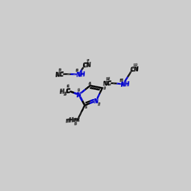 CCCCCCc1nccn1C.N#CNC#N.N#CNC#N